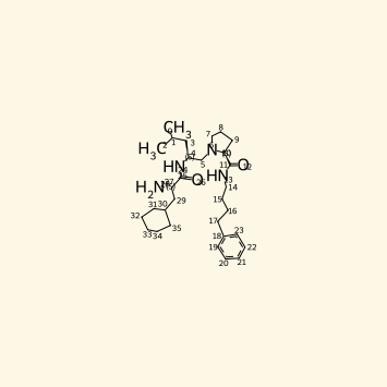 CC(C)C[C@@H](CN1CCC[C@H]1C(=O)NCCCCc1ccccc1)NC(=O)[C@@H](N)CC1CCCCC1